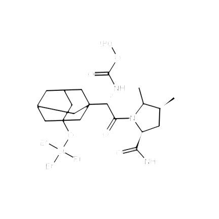 CC[Si](CC)(CC)OC12CC3CC(C1)CC([C@H](NC(=O)OC(C)(C)C)C(=O)N1C(C)[C@@H](C)C[C@H]1C(N)=O)(C3)C2